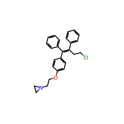 ClCCC(=C(c1ccccc1)c1ccc(OCCN2CC2)cc1)c1ccccc1